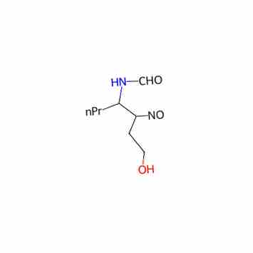 CCCC(NC=O)C(CCO)N=O